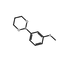 CSc1cccc(B2OCCCO2)c1